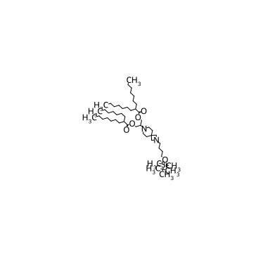 CCCCCCCC(CCCCCCC)C(=O)OCC(COC(=O)C(CCCCCCC)CCCCCCC)N1CCC2(CC1)CN(CCCCO[Si](C)(C)C(C)(C)C)C2